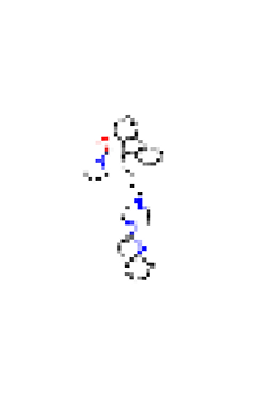 O=C(N1CCCC1)C1(CCCCN2CCN(c3ccc4ccccc4n3)CC2)c2ccccc2-c2ccccc21